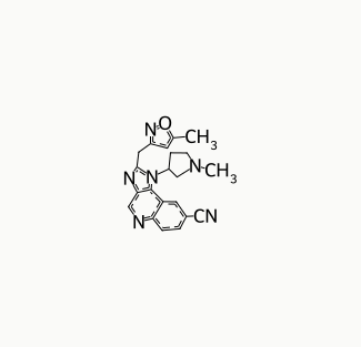 Cc1cc(Cc2nc3cnc4ccc(C#N)cc4c3n2C2CCN(C)C2)no1